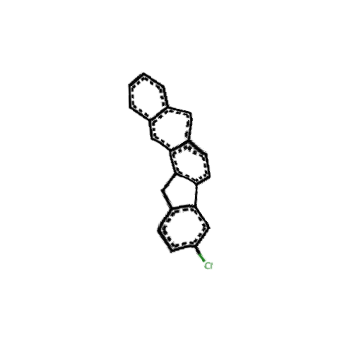 Clc1ccc2c(c1)-c1ccc3cc4ccccc4cc3c1C2